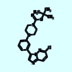 CC(C)(C)OC(=O)N1CCN(c2cccc(-c3cnc4ccc(Cl)nn34)c2)CC1